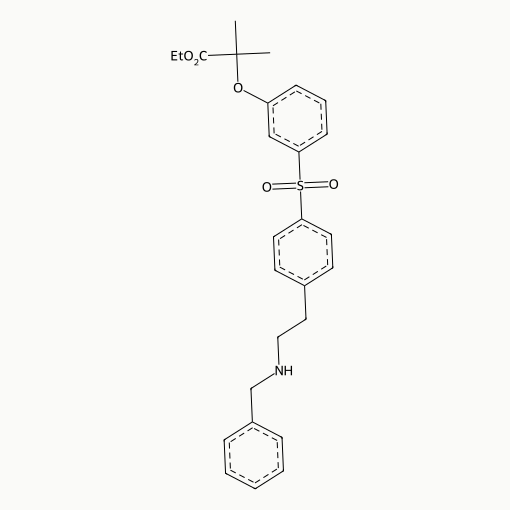 CCOC(=O)C(C)(C)Oc1cccc(S(=O)(=O)c2ccc(CCNCc3ccccc3)cc2)c1